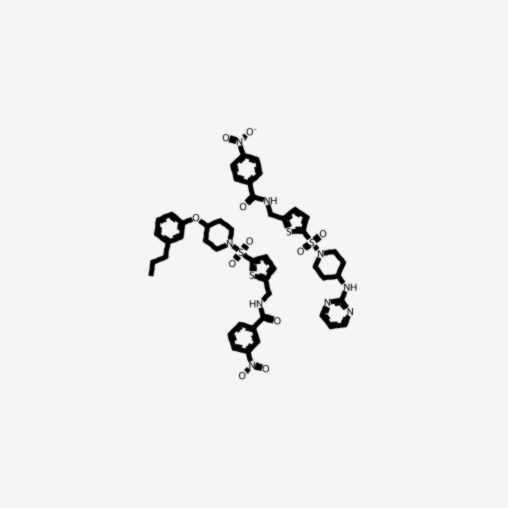 CCCc1cccc(OC2CCN(S(=O)(=O)c3ccc(CNC(=O)c4cccc([N+](=O)[O-])c4)s3)CC2)c1.O=C(NCc1ccc(S(=O)(=O)N2CCC(Nc3ncccn3)CC2)s1)c1ccc([N+](=O)[O-])cc1